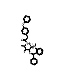 CC(NC(=O)Cc1ccc(Oc2ccccc2)cc1)C(=O)C1N=C(c2ccccc2)c2ccccc2N(C)[C@@H]1N